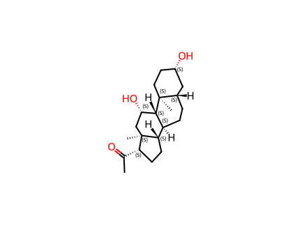 CC(=O)[C@H]1CC[C@H]2[C@@H]3CC[C@H]4C[C@@H](O)CC[C@]4(C)[C@H]3[C@@H](O)C[C@]12C